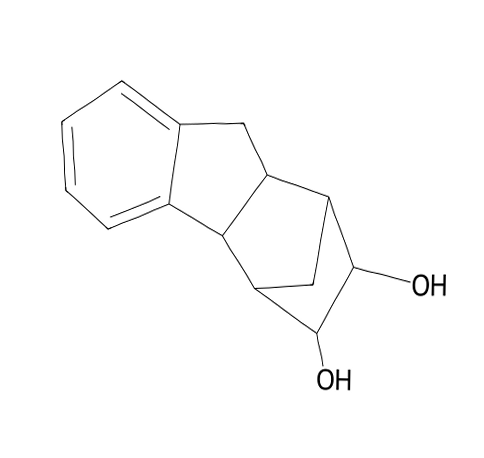 OC1C(O)C2CC1C1Cc3ccccc3C21